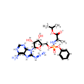 CC(C)OC(=O)[C@@H](C)NP(=O)(OC[C@H]1O[C@@H](n2c(N=[N+]=[N-])nc3c(N)ncnc32)[C@H](O)[C@@H]1O)Oc1ccccc1